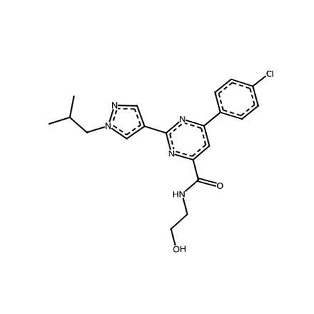 CC(C)Cn1cc(-c2nc(C(=O)NCCO)cc(-c3ccc(Cl)cc3)n2)cn1